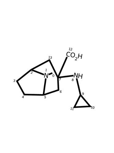 CN1C2CCC1CC(NC1CC1)(C(=O)O)C2